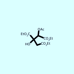 CCOC(=O)CC(O)(C(=O)OCC)C(OC(C)=O)C(=O)OCC